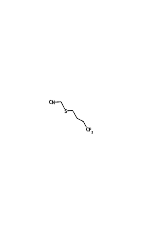 [C-]#[N+]CSCCCC(F)(F)F